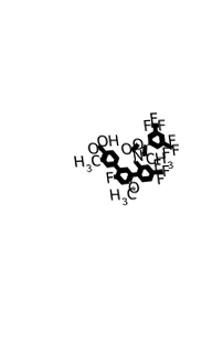 COc1cc(F)c(-c2ccc(C(=O)O)c(C)c2)cc1-c1ccc(C(F)(F)F)cc1CN1C(=O)O[C@H](c2cc(C(F)(F)F)cc(C(F)(F)F)c2)[C@@H]1C